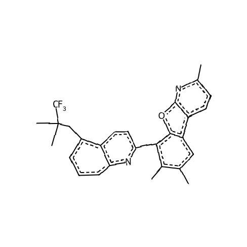 Cc1ccc2c(n1)oc1c(-c3ccc4c(CC(C)(C)C(F)(F)F)cccc4n3)c(C)c(C)cc12